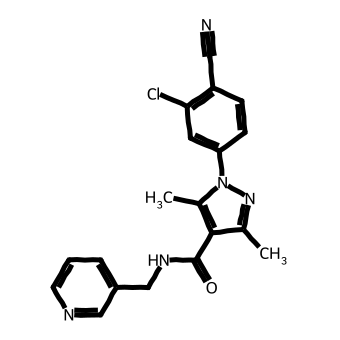 Cc1nn(-c2ccc(C#N)c(Cl)c2)c(C)c1C(=O)NCc1cccnc1